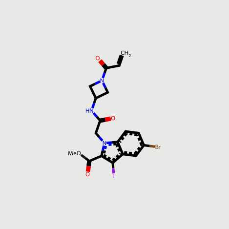 C=CC(=O)N1CC(NC(=O)Cn2c(C(=O)OC)c(I)c3cc(Br)ccc32)C1